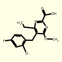 CCc1nc(C(=O)O)nc(OC)c1Cc1ccc(F)cc1Cl